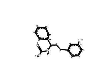 O=C(O)N[C](CCc1cccc(F)c1)c1ccccc1